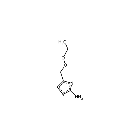 CCOOCc1csc(N)n1